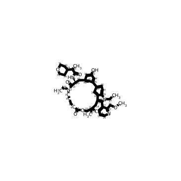 C=NN1CCCCC(=O)OCC(C)(C)Cc2c(-c3cccnc3COC)n(CC)c3ccc(cc23)-c2cc(O)cc(c2)C[C@H](NC(=O)C(C)C2CCOCC2)C1=O